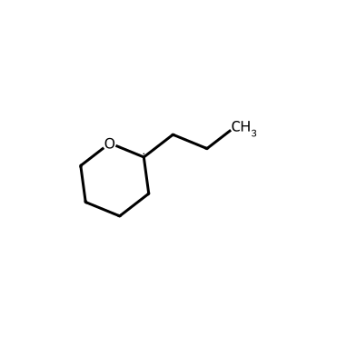 CCC[C]1CCCCO1